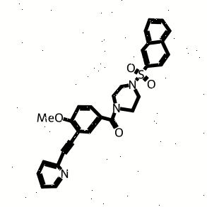 COc1ccc(C(=O)N2CCN(S(=O)(=O)c3ccc4ccccc4c3)CC2)cc1C#Cc1ccccn1